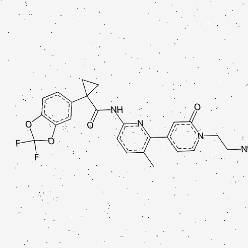 Cc1ccc(NC(=O)C2(c3ccc4c(c3)OC(F)(F)O4)CC2)nc1-c1ccn(CCN)c(=O)c1